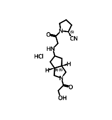 Cl.N#C[C@@H]1CCCN1C(=O)CNC1C[C@@H]2CN(C(=O)CO)C[C@@H]2C1